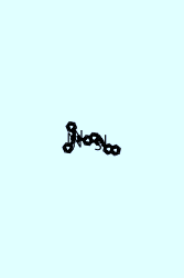 c1ccc(-c2nc(-c3ccccc3)nc(-c3ccc4c(ccc5nc(-c6ccc7ccccc7c6)sc54)c3)n2)cc1